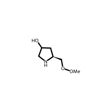 COOC[C@@H]1CC(O)CN1